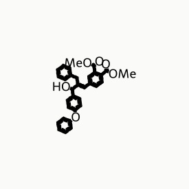 COC(=O)c1ccc(/C=C(\Cc2ccccc2)C(O)c2ccc(Oc3ccccc3)cc2)cc1C(=O)OC